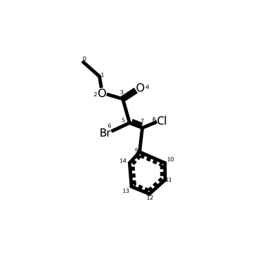 CCOC(=O)/C(Br)=C(\Cl)c1ccccc1